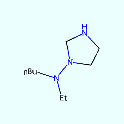 CCCCN(CC)N1CCNC1